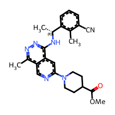 COC(=O)C1CCN(c2cc3c(N[C@H](C)c4cccc(C#N)c4C)nnc(C)c3cn2)CC1